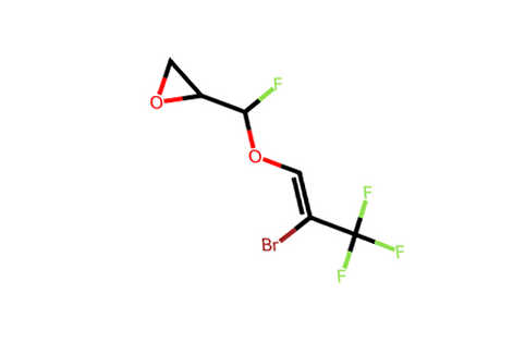 FC(OC=C(Br)C(F)(F)F)C1CO1